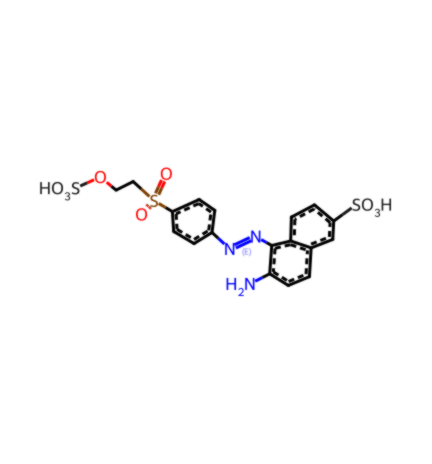 Nc1ccc2cc(S(=O)(=O)O)ccc2c1/N=N/c1ccc(S(=O)(=O)CCOS(=O)(=O)O)cc1